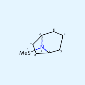 CSN1C2CCCC1CC2